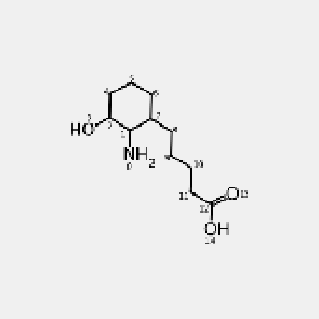 NC1C(O)CCCC1CCCCC(=O)O